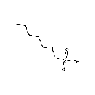 CCCCCSOS(=O)(=O)O